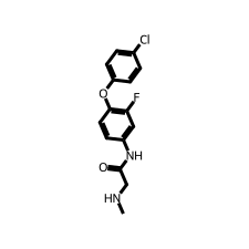 CNCC(=O)Nc1ccc(Oc2ccc(Cl)cc2)c(F)c1